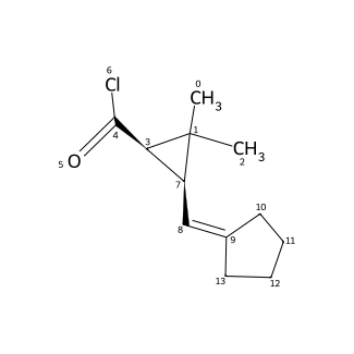 CC1(C)[C@H](C(=O)Cl)[C@@H]1C=C1CCCC1